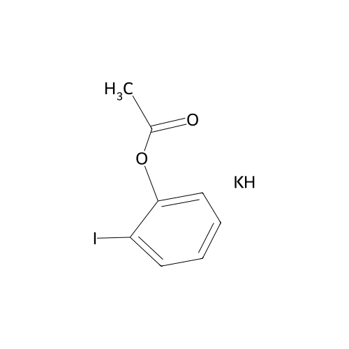 CC(=O)Oc1ccccc1I.[KH]